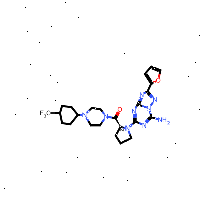 Nc1nc(N2CCC[C@H]2C(=O)N2CCN(C3CCC(C(F)(F)F)CC3)CC2)nc2nc(-c3ccco3)nn12